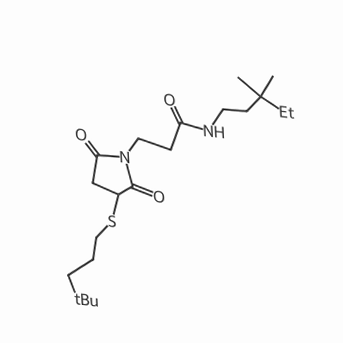 CCC(C)(C)CCNC(=O)CCN1C(=O)CC(SCCCC(C)(C)C)C1=O